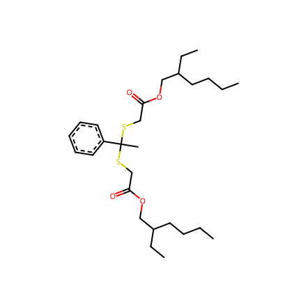 CCCCC(CC)COC(=O)CSC(C)(SCC(=O)OCC(CC)CCCC)c1ccccc1